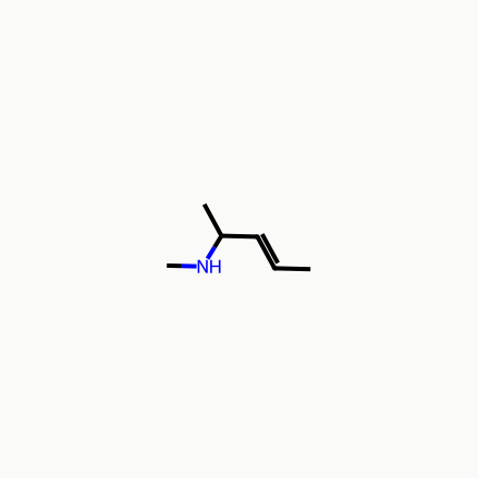 CC=CC(C)NC